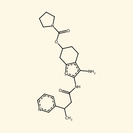 CC(CC(=O)Nc1sc2c(c1N)CCC(OC(=O)N1CCCC1)C2)c1cccnc1